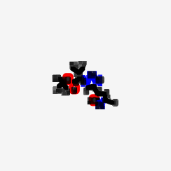 Cc1cc(-c2cn([C@H](C(=O)OC(C)(C)C)C(C)C)nn2)on1